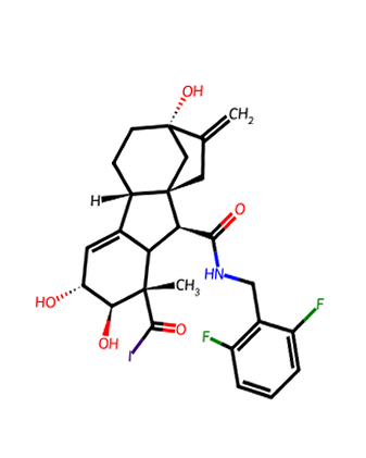 C=C1C[C@]23C[C@@]1(O)CC[C@H]2C1=C[C@@H](O)[C@H](O)[C@@](C)(C(=O)I)C1[C@@H]3C(=O)NCc1c(F)cccc1F